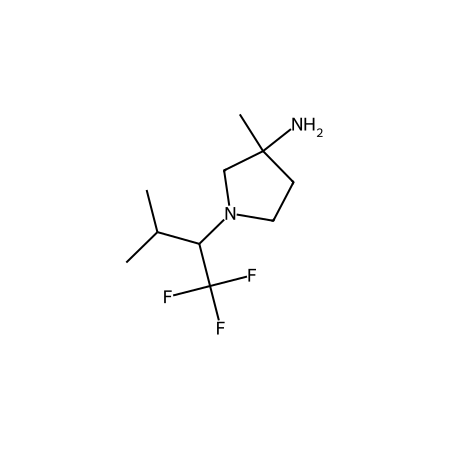 CC(C)C(N1CCC(C)(N)C1)C(F)(F)F